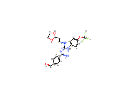 N=C(/N=C(/NCCC1OCCO1)Nc1ccc(OC(F)(F)F)cc1)c1ccc(C=O)cc1